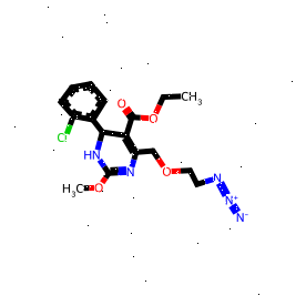 CCOC(=O)C1=C(COCCN=[N+]=[N-])N=C(OC)NC1c1ccccc1Cl